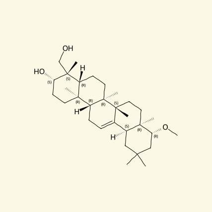 CO[C@@H]1CC(C)(C)C[C@H]2C3=CC[C@@H]4[C@@]5(C)CC[C@H](O)[C@](C)(CO)[C@@H]5CC[C@@]4(C)[C@]3(C)CC[C@@]12C